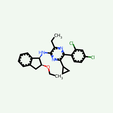 CCO[C@H]1Cc2ccccc2[C@H]1Nc1nc(C2CC2)c(-c2ccc(Cl)cc2Cl)nc1CC